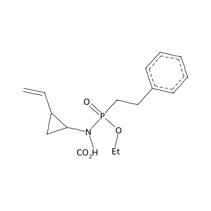 C=CC1CC1N(C(=O)O)P(=O)(CCc1ccccc1)OCC